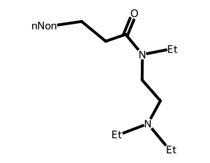 CCCCCCCCCCCC(=O)N(CC)CCN(CC)CC